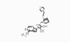 Nc1ncnn2c([C@@H]3O[C@H](CN4CCC[C@H]4CCN4CCOCC4)[C@@H](O)[C@H]3O)ccc12